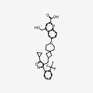 O=C(O)c1cc(CO)c2cc(N3CCC4(CC3)CC(Cc3c(-c5ccccc5C(F)(F)F)noc3C3CC3)C4)ccc2n1